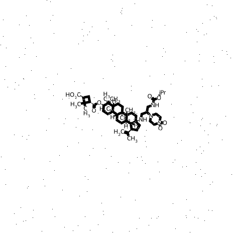 C=C(C)[C@@H]1CC[C@]2(NCC(CNC(=O)OC(C)C)N3CCS(=O)(=O)CC3)CC[C@]3(C)[C@H](CC[C@@H]4[C@@]5(C)CC[C@H](OC(=O)[C@H]6C[C@@H](C(=O)O)C6(C)C)C(C)(C)[C@@H]5CC[C@]43C)[C@@H]12